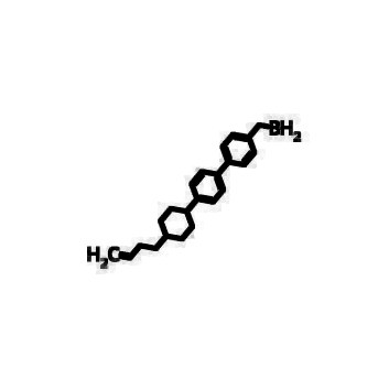 BCc1ccc(-c2ccc(C3CCC(CCC=C)CC3)cc2)cc1